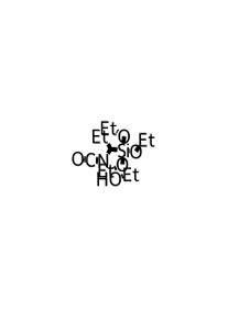 CCO.CCO[Si](OCC)(OCC)C(CC)N=C=O